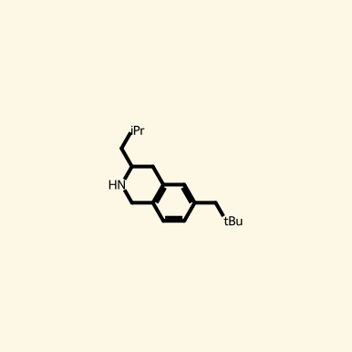 CC(C)CC1Cc2cc(CC(C)(C)C)ccc2CN1